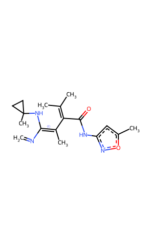 C=N/C(NC1(C)CC1)=C(\C)C(C(=O)Nc1cc(C)on1)=C(C)C